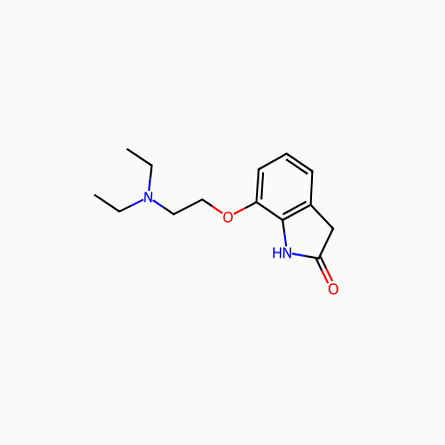 CCN(CC)CCOc1cccc2c1NC(=O)C2